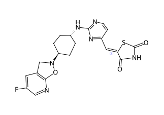 O=C1NC(=O)/C(=C/c2ccnc(N[C@H]3CC[C@H](N4Cc5cc(F)cnc5O4)CC3)n2)S1